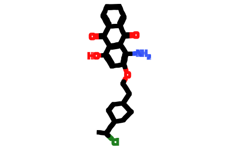 CC(Cl)C1CCC(CCOc2cc(O)c3c(c2N)C(=O)c2ccccc2C3=O)CC1